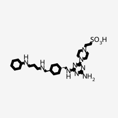 Nc1nc(NC[C@H]2CC[C@H](CNCCCNC3CCCCC3)CC2)nc(N2CCN(CCS(=O)(=O)O)CC2)n1